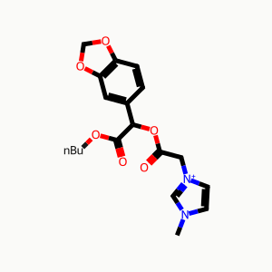 CCCCOC(=O)C(OC(=O)C[n+]1ccn(C)c1)c1ccc2c(c1)OCO2